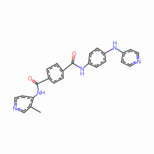 Cc1cnccc1NC(=O)c1ccc(C(=O)Nc2ccc(Nc3ccncc3)cc2)cc1